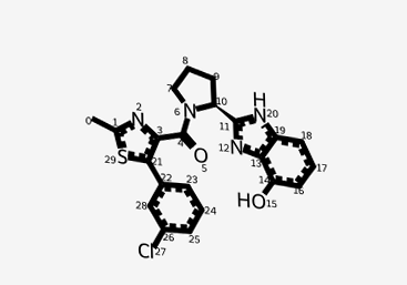 Cc1nc(C(=O)N2CCC[C@H]2c2nc3c(O)cccc3[nH]2)c(-c2cccc(Cl)c2)s1